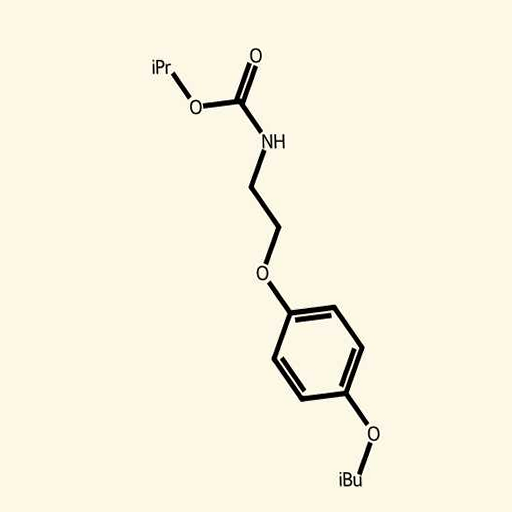 CCC(C)Oc1ccc(OCCNC(=O)OC(C)C)cc1